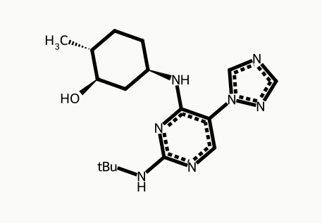 C[C@@H]1CC[C@@H](Nc2nc(NC(C)(C)C)ncc2-n2cncn2)C[C@H]1O